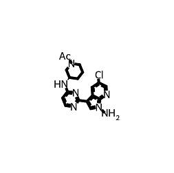 CC(=O)N1CCC[C@H](Nc2ccnc(-c3cn(N)c4ncc(Cl)cc34)n2)C1